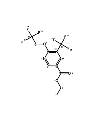 CCOC(=O)c1cnc(OCC(F)(F)F)c(C(F)(F)F)c1